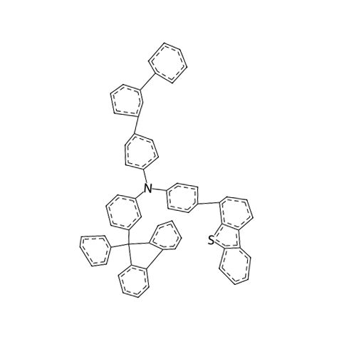 c1ccc(-c2cccc(-c3ccc(N(c4ccc(-c5cccc6c5sc5ccccc56)cc4)c4cccc(C5(c6ccccc6)c6ccccc6-c6ccccc65)c4)cc3)c2)cc1